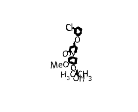 COc1cc(-n2ccc(COc3cccc(Cl)c3)cc2=O)ccc1OCC(C)(C)O